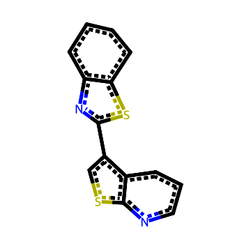 c1ccc2sc(-c3csc4ncccc34)nc2c1